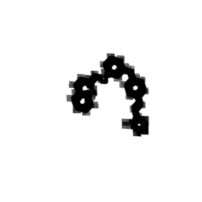 C(=Cc1nnn[nH]1)c1ccc(Cc2cccc(OCc3ccc4ccccc4n3)c2)cc1